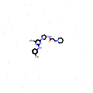 CCCc1cc(N2CC[C@H](NC(=O)CCN3CCCCC3)C2)nc(Nc2cccc(C#N)c2)n1